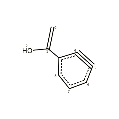 C=C(O)c1c#cccc1